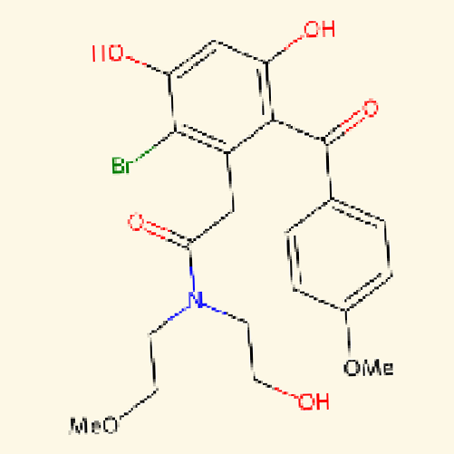 COCCN(CCO)C(=O)Cc1c(Br)c(O)cc(O)c1C(=O)c1ccc(OC)cc1